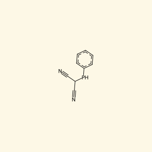 N#CC(C#N)Pc1ccccc1